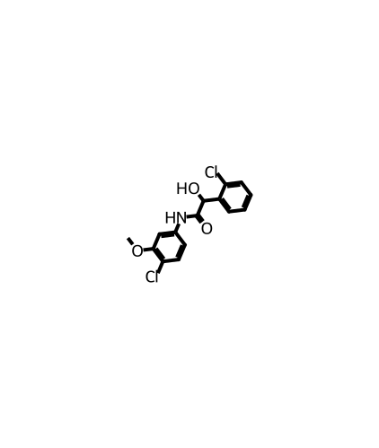 COc1cc(NC(=O)C(O)c2ccccc2Cl)ccc1Cl